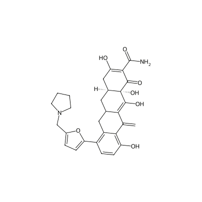 C=C1C2=C(O)[C@]3(O)C(=O)C(C(N)=O)=C(O)C[C@@H]3CC2Cc2c(-c3ccc(CN4CCCC4)o3)ccc(O)c21